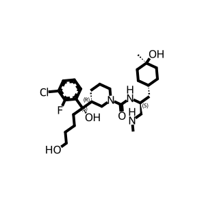 CNC[C@H](C[C@H]1CC[C@](C)(O)CC1)NC(=O)N1CCC[C@@H]([C@@](O)(CCCCO)c2cccc(Cl)c2F)C1